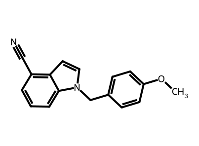 COc1ccc(Cn2ccc3c(C#N)cccc32)cc1